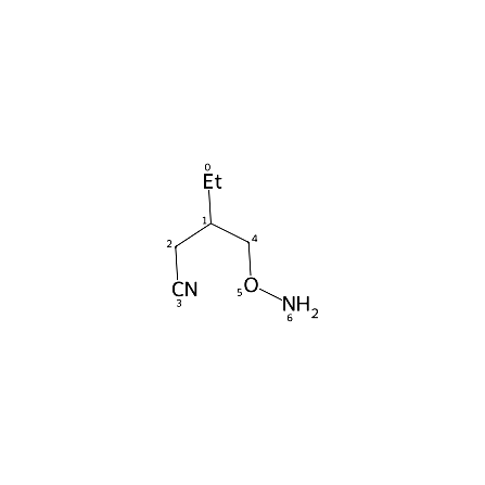 CCC(CC#N)CON